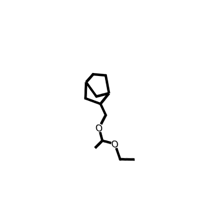 CCOC(C)OCC1CC2CCC1C2